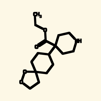 CCOC(=O)C1(C2CCC3(CCOO3)CC2)CCNCC1